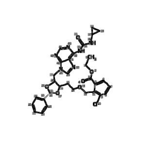 CCOC(=O)c1cccc(Cl)c1COCCC1O[C@H](c2ccccc2)OC1Cn1cnc2c(NC(=O)NC3CC3)ncnc21